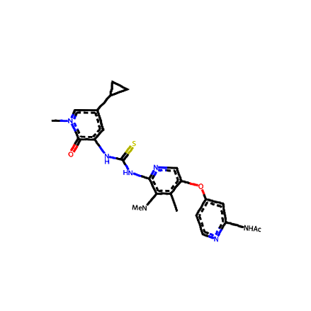 CNc1c(NC(=S)Nc2cc(C3CC3)cn(C)c2=O)ncc(Oc2ccnc(NC(C)=O)c2)c1C